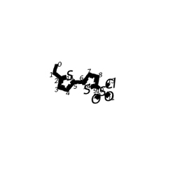 CCc1ccc(-c2ccc(S(=O)(=O)Cl)s2)s1